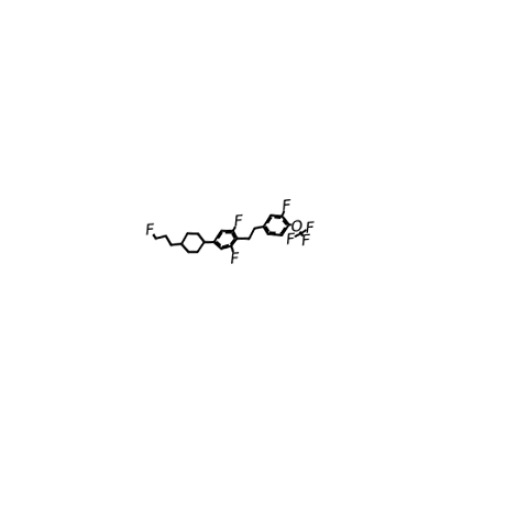 FCCCC1CCC(c2cc(F)c(CCc3ccc(OC(F)(F)F)c(F)c3)c(F)c2)CC1